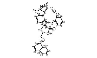 CCc1nn(C)c2c1-c1c(F)ccc3c(CCCOc4cccc5ccccc45)c(C(=O)O)n(c13)Cc1ccccc1COC2